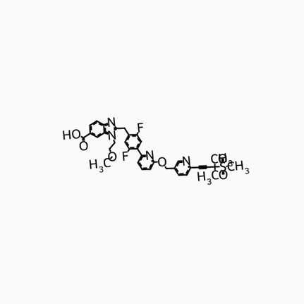 COCCn1c(Cc2cc(F)c(-c3cccc(OCc4ccc(C#CC(C)(C)S(C)(=O)=O)nc4)n3)cc2F)nc2ccc(C(=O)O)cc21